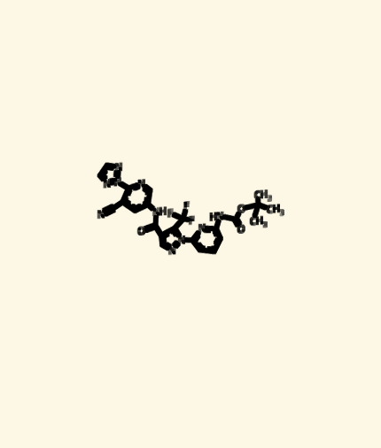 CC(C)(C)OC(=O)Nc1cccc(-n2ncc(C(=O)Nc3cnc(-n4nccn4)c(C#N)c3)c2C(F)(F)F)n1